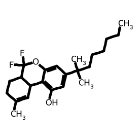 CCCCCCC(C)(C)c1cc(O)c2c(c1)OC(F)(F)C1CCC(C)=CC21